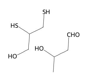 CC(O)CC=O.OCC(S)CS